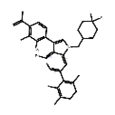 C=C(C)c1ccc(-c2cn(CC3CCC(F)(F)CC3)c(=C/C(=C\C)C3=C(C)CCC(C)=C3C)/c2=C/CC)c(C(C)C)c1C